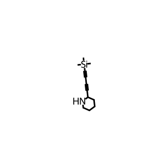 C[Si](C)(C)C#CC#CC1CCCCN1